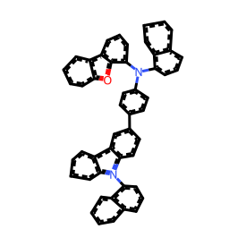 c1ccc2c(N(c3ccc(-c4ccc5c(c4)c4ccccc4n5-c4cccc5ccccc45)cc3)c3cccc4c3oc3ccccc34)cccc2c1